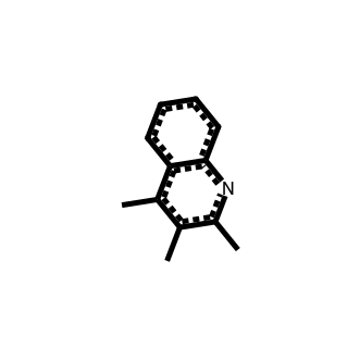 Cc1nc2ccccc2c(C)c1C